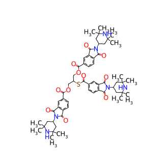 CC1(C)CC(N2C(=O)c3ccc(C(=O)OCC(COC(=O)c4ccc5c(c4)C(=O)N(C4CC(C)(C)NC(C)(C)C4)C5=O)SC(=O)c4ccc5c(c4)C(=O)N(C4CC(C)(C)NC(C)(C)C4)C5=O)cc3C2=O)CC(C)(C)N1